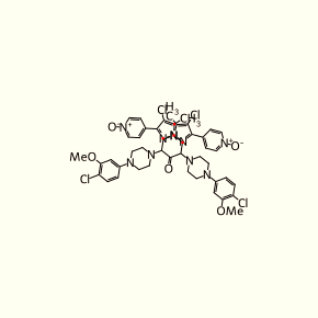 COc1cc(N2CCN(C(Cn3nc(-c4cc[n+]([O-])cc4)c(Cl)c3C)C(=O)C(Cn3nc(-c4cc[n+]([O-])cc4)c(Cl)c3C)N3CCN(c4ccc(Cl)c(OC)c4)CC3)CC2)ccc1Cl